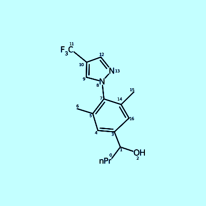 CCCC(O)c1cc(C)c(-n2cc(C(F)(F)F)cn2)c(C)c1